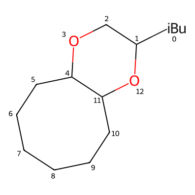 CCC(C)C1COC2CCCCCCC2O1